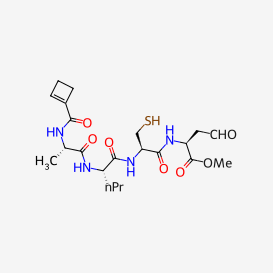 CCC[C@H](NC(=O)[C@H](C)NC(=O)C1=CCC1)C(=O)N[C@@H](CS)C(=O)N[C@@H](CC=O)C(=O)OC